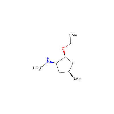 CN[C@@H]1C[C@H](OCOC)[C@H](NC(=O)O)C1